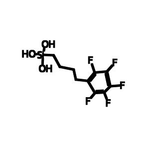 O[Si](O)(O)CCCCc1c(F)c(F)c(F)c(F)c1F